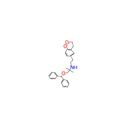 CC(C)(COC(c1ccccc1)c1ccccc1)NCCc1ccc2c(c1)CCOO2